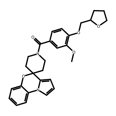 COc1cc(C(=O)N2CCC3(CC2)Oc2ccccc2-n2cccc23)ccc1OCC1CCCO1